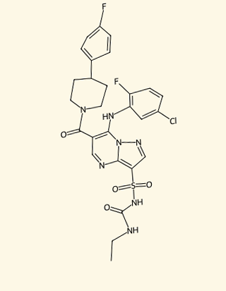 CCNC(=O)NS(=O)(=O)c1cnn2c(Nc3cc(Cl)ccc3F)c(C(=O)N3CCC(c4ccc(F)cc4)CC3)cnc12